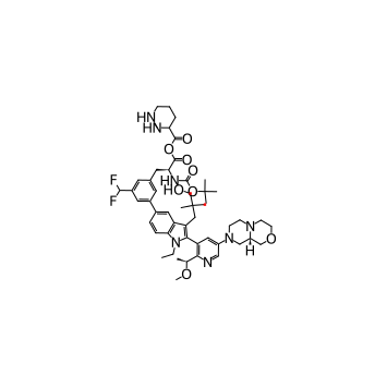 CCn1c(-c2cc(N3CCN4CCOC[C@@H]4C3)cnc2[C@H](C)OC)c(CC(C)(C)CO)c2cc(-c3cc(C[C@H](NC(=O)OC(C)(C)C)C(=O)OC(=O)C4CCCNN4)cc(C(F)F)c3)ccc21